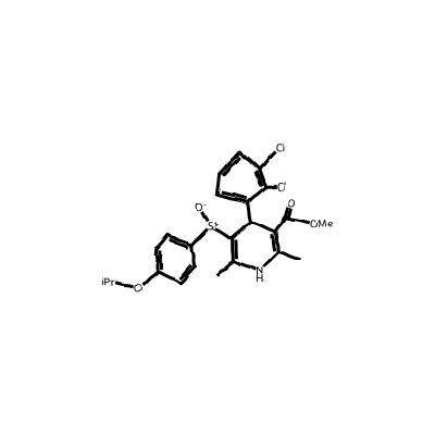 COC(=O)C1=C(C)NC(C)=C([S+]([O-])c2ccc(OC(C)C)cc2)C1c1cccc(Cl)c1Cl